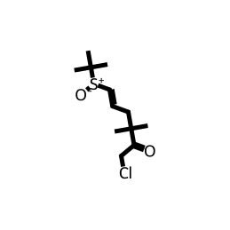 CC(C)(C/C=C/[S+]([O-])C(C)(C)C)C(=O)CCl